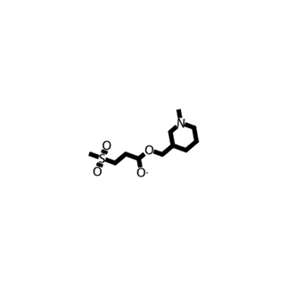 CN1CCCC(COC([O])CCS(C)(=O)=O)C1